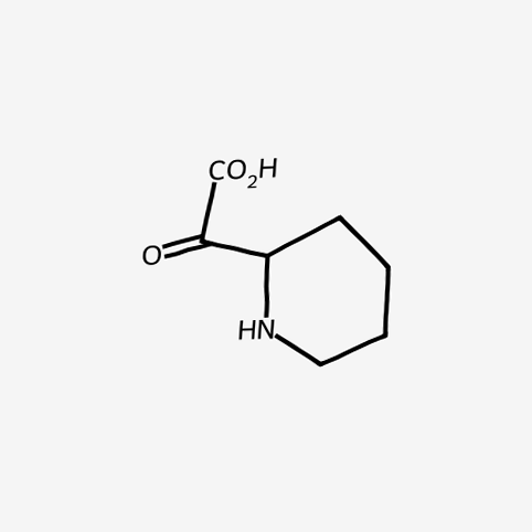 O=C(O)C(=O)C1CCCCN1